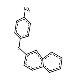 O=[N+]([O-])c1ccc(Sc2ccc3ccccc3c2)cc1